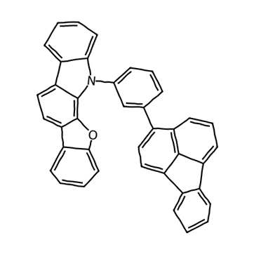 c1cc(-c2ccc3c4c(cccc24)-c2ccccc2-3)cc(-n2c3ccccc3c3ccc4c5ccccc5oc4c32)c1